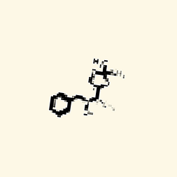 C[C@@H]([C@H]1COC(C)(C)O1)N(O)Cc1ccccc1